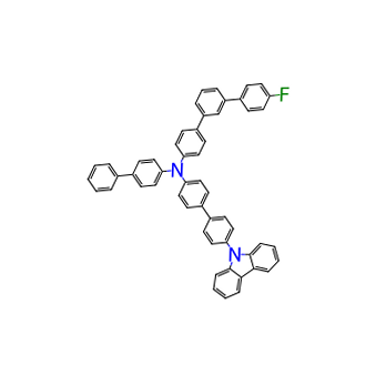 Fc1ccc(-c2cccc(-c3ccc(N(c4ccc(-c5ccccc5)cc4)c4ccc(-c5ccc(-n6c7ccccc7c7ccccc76)cc5)cc4)cc3)c2)cc1